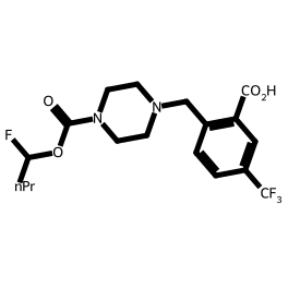 CCCC(F)OC(=O)N1CCN(Cc2ccc(C(F)(F)F)cc2C(=O)O)CC1